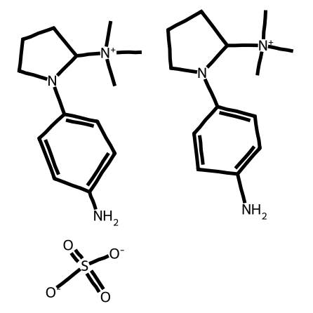 C[N+](C)(C)C1CCCN1c1ccc(N)cc1.C[N+](C)(C)C1CCCN1c1ccc(N)cc1.O=S(=O)([O-])[O-]